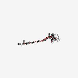 Cc1sc2c(c1C)C(c1ccc(Cl)cc1)=N[C@@H](CC(=O)Nc1ccc(N3CCN(CCOCCOCCOCCOCCOCCOCCOCCNC(=O)O)CC3)cc1)c1nnc(C)n1-2